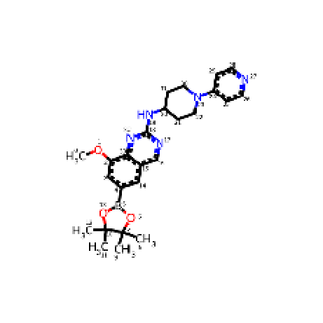 COc1cc(B2OC(C)(C)C(C)(C)O2)cc2cnc(NC3CCN(c4ccncc4)CC3)nc12